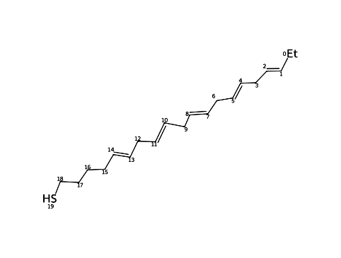 CC/C=C/C/C=C/C/C=C/C/C=C/C/C=C/CCCCS